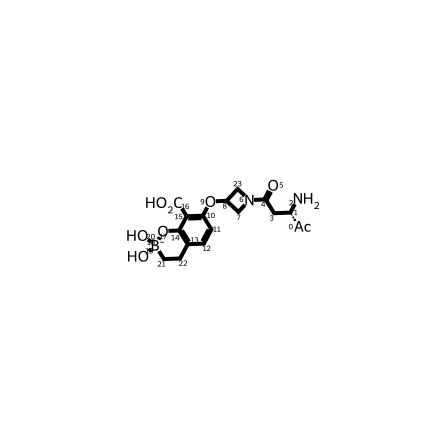 CC(=O)[C@@H](N)CC(=O)N1CC(Oc2ccc3c(c2C(=O)O)O[B-](O)(O)CC3)C1